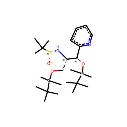 CC(C)(C)[S@@+]([O-])N[C@@H](CO[Si](C)(C)C(C)(C)C)[C@@H](O[Si](C)(C)C(C)(C)C)c1ccccn1